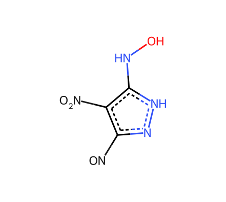 O=Nc1n[nH]c(NO)c1[N+](=O)[O-]